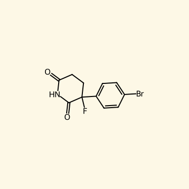 O=C1CCC(F)(c2ccc(Br)cc2)C(=O)N1